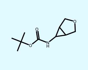 CC(C)(C)OC(=O)NC1C2COCC21